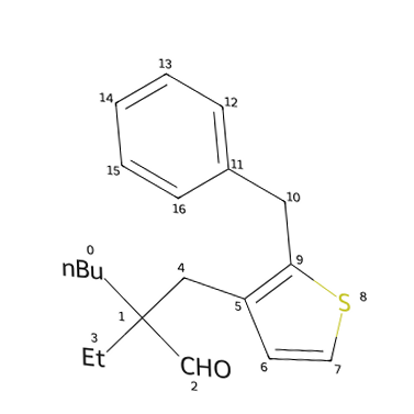 CCCCC(C=O)(CC)Cc1ccsc1Cc1ccccc1